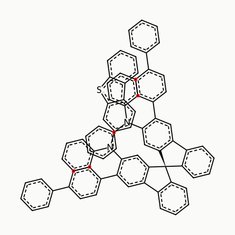 c1ccc(-c2ccc(-c3cc4c(cc3N(c3ccccc3)c3ccccc3)[C@@]3(c5ccccc5-4)c4ccccc4-c4cc(-c5ccc(-c6ccccc6)cc5)c(N(c5ccccc5)c5ccc6c(c5)sc5ccccc56)cc43)cc2)cc1